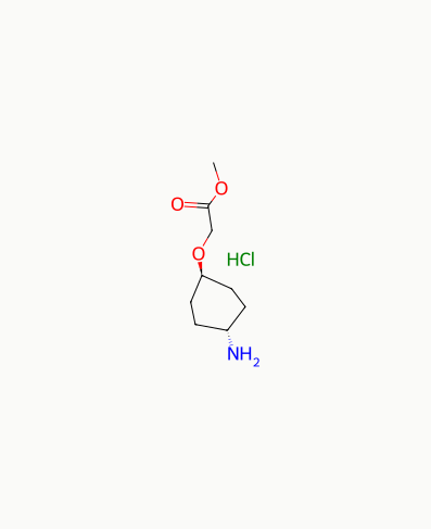 COC(=O)CO[C@H]1CC[C@H](N)CC1.Cl